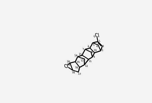 ClC1=CC2CC1C1C3CC(C21)C1C2CC(C4C2CC2OC24)C31